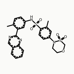 Cc1ccc(NS(=O)(=O)c2ccc(N3CCOCS3(=O)=O)cc2C)cc1-c1ncc2ccccc2n1